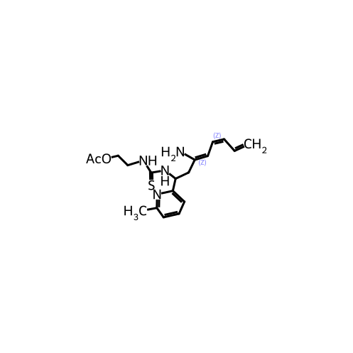 C=C/C=C\C=C(/N)CC(NC(=S)NCCOC(C)=O)c1cccc(C)n1